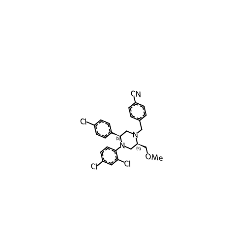 COC[C@H]1CN(c2ccc(Cl)cc2Cl)[C@@H](c2ccc(Cl)cc2)CN1Cc1ccc(C#N)cc1